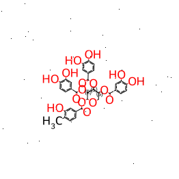 Cc1ccc(C(=O)OC2OC[C@H](OC(=O)c3ccc(O)c(O)c3)[C@H](OC(=O)c3ccc(O)c(O)c3)[C@H]2OC(=O)c2ccc(O)c(O)c2)cc1O